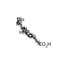 CC(C)(C)c1cnc(CSc2cnc(NC(=O)Cc3ccc(OCCCCCC(=O)O)cc3)s2)o1